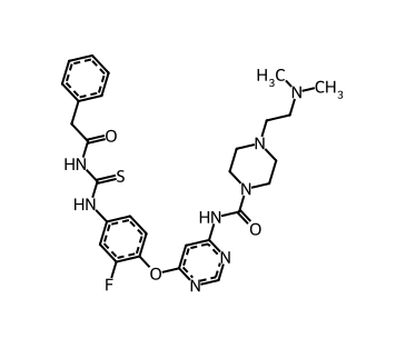 CN(C)CCN1CCN(C(=O)Nc2cc(Oc3ccc(NC(=S)NC(=O)Cc4ccccc4)cc3F)ncn2)CC1